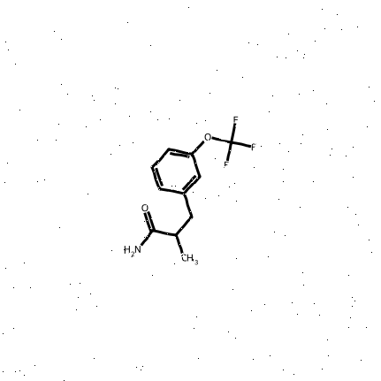 CC(Cc1cccc(OC(F)(F)F)c1)C(N)=O